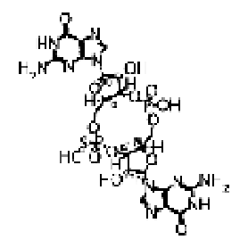 C#S[P@]1(=O)OC[C@H]2O[C@@H](n3cnc4c(=O)[nH]c(N)nc43)[C@H](O)[C@@H]2OP(=O)(O)OC[C@H]2O[C@@H](n3cnc4c(=O)[nH]c(N)nc43)[C@H](O)[C@@H]2O1